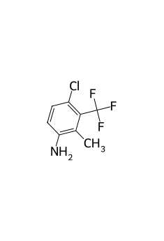 Cc1c(N)ccc(Cl)c1C(F)(F)F